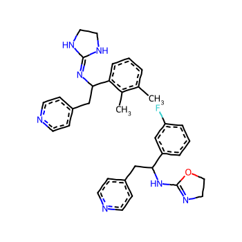 Cc1cccc(C(Cc2ccncc2)N=C2NCCN2)c1C.Fc1cccc(C(Cc2ccncc2)NC2=NCCO2)c1